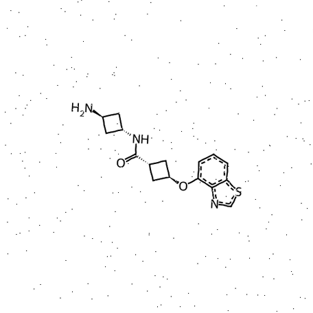 N[C@H]1C[C@H](NC(=O)[C@H]2C[C@H](Oc3cccc4scnc34)C2)C1